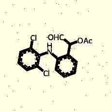 CC(=O)OC([C]=O)c1ccccc1Nc1c(Cl)cccc1Cl